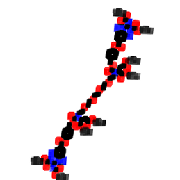 CC(C)(C)OC(=O)CC(C(=O)OC(C)(C)C)N(CCOCCOCCOCCOCCN(C(=O)OCc1ccc(OC(=O)c2ccc(N/C(=N\C(=O)OC(C)(C)C)NC(=O)OC(C)(C)C)cc2)cc1)C(CC(=O)OC(C)(C)C)C(=O)OC(C)(C)C)C(=O)OCc1ccc(OC(=O)c2ccc(N/C(=N\C(=O)OC(C)(C)C)NC(=O)OC(C)(C)C)cc2)cc1